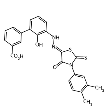 Cc1ccc(N2C(=O)C(=NNc3cccc(-c4cccc(C(=O)O)c4)c3O)SC2=S)cc1C